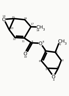 CC1CC2OC2C=C1OC(=O)C1=CC2OC2CC1C